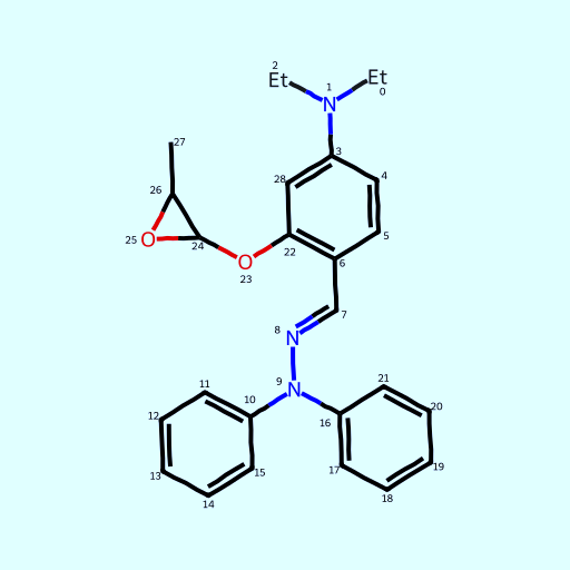 CCN(CC)c1ccc(/C=N/N(c2ccccc2)c2ccccc2)c(OC2OC2C)c1